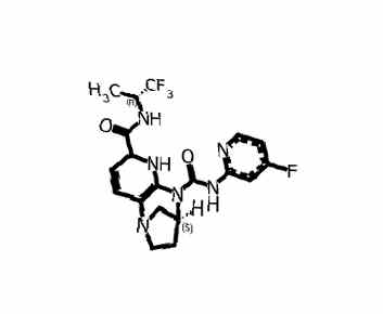 C[C@@H](NC(=O)C1C=CC2=C(N1)N(C(=O)Nc1cc(F)ccn1)[C@H]1CCN2C1)C(F)(F)F